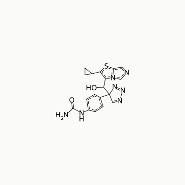 NC(=O)Nc1ccc(C2(C(O)c3c(C4CC4)sc4cncn34)C=NN=N2)cc1